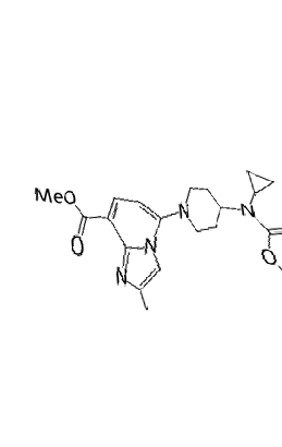 COC(=O)c1ccc(N2CCC(N(C(=O)OC(C)(C)C)C3CC3)CC2)n2cc(C)nc12